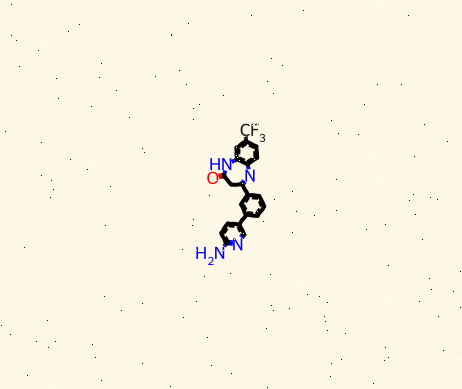 Nc1ccc(-c2cccc(C3=Nc4ccc(C(F)(F)F)cc4NC(=O)C3)c2)cn1